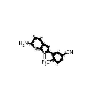 N#Cc1ccc(C(F)(F)F)c(-c2cc3ccc(N)nc3[nH]2)c1